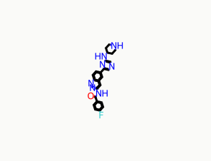 O=C(Nc1cc2cc(-c3cncc(NC4CCNCC4)n3)ccc2nn1)c1ccc(F)cc1